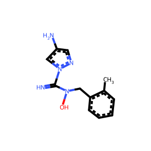 Cc1ccccc1CN(O)C(=N)n1cc(N)cn1